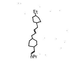 CCCC=CC1CCC(CC=CCC2CCC(CC)CC2)CC1